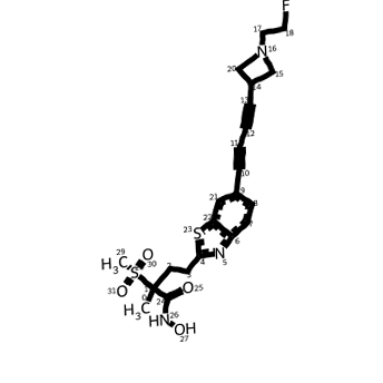 CC(CCc1nc2ccc(C#CC#CC3CN(CCF)C3)cc2s1)(C(=O)NO)S(C)(=O)=O